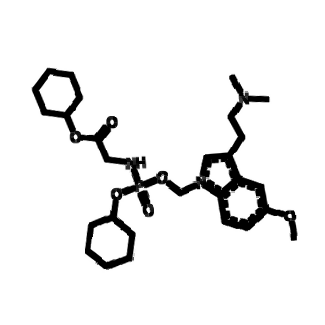 COc1ccc2c(c1)c(CCN(C)C)cn2COP(=O)(NCC(=O)OC1CCCCC1)OC1CCCCC1